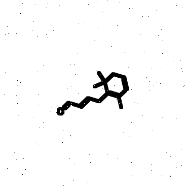 CC1=C(CC=CC=O)C(C)(C)CC=C1